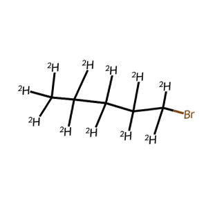 [2H]C([2H])([2H])C([2H])([2H])C([2H])([2H])C([2H])([2H])C([2H])([2H])Br